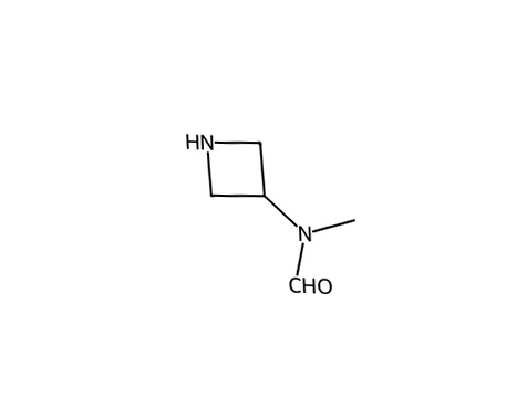 CN(C=O)C1CNC1